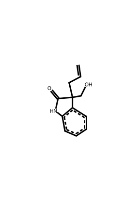 C=CCC1(CO)C(=O)Nc2ccccc21